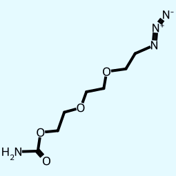 [N-]=[N+]=NCCOCCOCCOC(N)=O